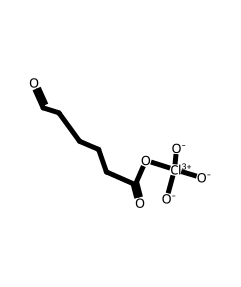 O=CCCCCC(=O)O[Cl+3]([O-])([O-])[O-]